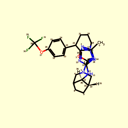 Cc1noc(N2CC3CC[C@@H](C2)[C@@H]3Nc2nc3n(n2)CCCC3c2ccc(OC(F)(F)F)cc2)n1